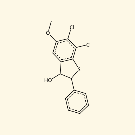 COc1cc2c(c(Cl)c1Cl)SC(c1ccccc1)C2O